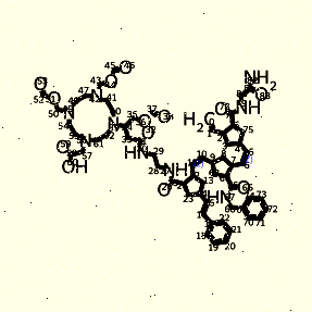 C=CC1CC(/C=C\C2CC(/C=C\C3CC(C=Cc4ccccc4)CC3C(=O)NCCNC(=O)CC(COC=O)N3CCN(COC=O)CCN(COC=O)CCN(CC(=O)O)CC3)CC2C(=O)NCc2ccccc2)CC1C(=O)NCC(N)=O